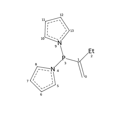 C=C(CC)P(n1cccc1)n1cccc1